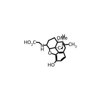 CO[C@@]12CCC(NCC(=O)O)C3Oc4c(O)ccc5c4[C@@]31CCN(C)[C@@H]2C5